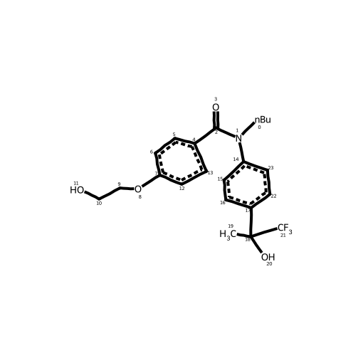 CCCCN(C(=O)c1ccc(OCCO)cc1)c1ccc(C(C)(O)C(F)(F)F)cc1